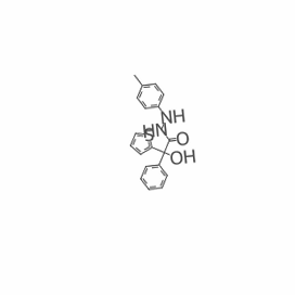 Cc1ccc(NNC(=O)C(O)(c2ccccc2)c2cccs2)cc1